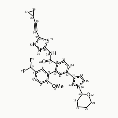 COc1cnc(C(F)F)cc1-c1cc(-c2ccn(C3CCCCO3)n2)ncc1C(=O)Nc1nnc(C#CC2CC2)s1